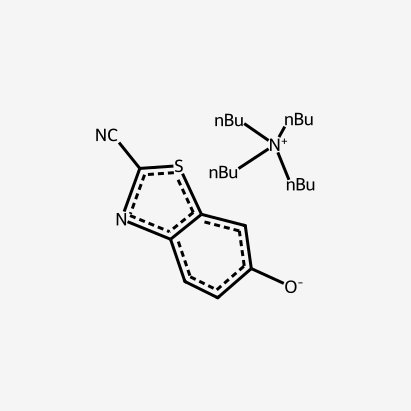 CCCC[N+](CCCC)(CCCC)CCCC.N#Cc1nc2ccc([O-])cc2s1